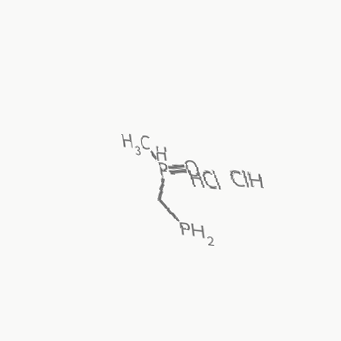 C[PH](=O)CP.Cl.Cl